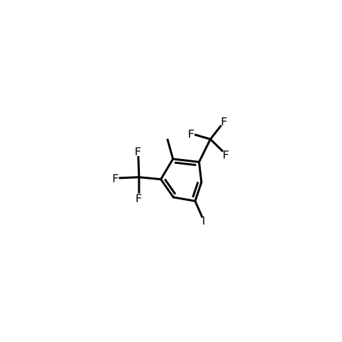 Cc1c(C(F)(F)F)cc(I)cc1C(F)(F)F